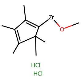 C[O][Zr][C]1=C(C)C(C)=C(C)C1(C)C.Cl.Cl